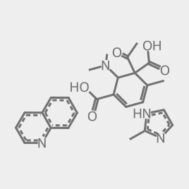 CC(=O)C1(C(=O)O)C(C)=CC=C(C(=O)O)C1N(C)C.Cc1ncc[nH]1.c1ccc2ncccc2c1